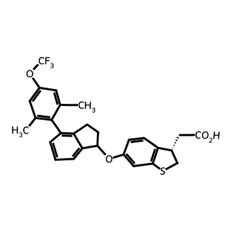 Cc1cc(OC(F)(F)F)cc(C)c1-c1cccc2c1CCC2Oc1ccc2c(c1)SC[C@H]2CC(=O)O